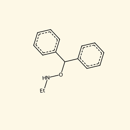 CCNOC(c1ccccc1)c1ccccc1